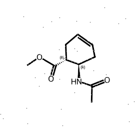 COC(=O)[C@@H]1CC=CC[C@H]1NC(C)=O